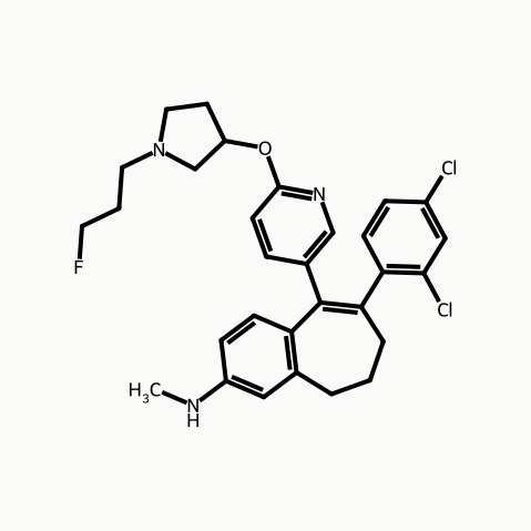 CNc1ccc2c(c1)CCCC(c1ccc(Cl)cc1Cl)=C2c1ccc(OC2CCN(CCCF)C2)nc1